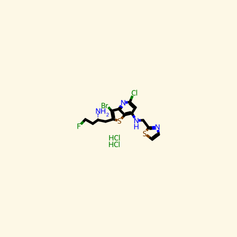 Cl.Cl.N[C@@H](CCF)Cc1sc2c(NCc3nccs3)cc(Cl)nc2c1Br